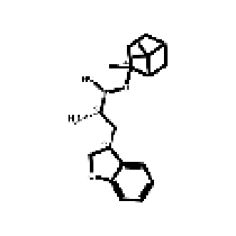 CC1(C)C2CC[C@@](C)(OB(O)[C@@H](N)C[C@@H]3COc4ccccc43)C1C2